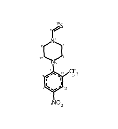 O=[N+]([O-])c1ccc(N2CCN([C]=S)CC2)c(C(F)(F)F)c1